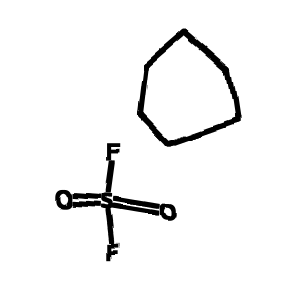 C1CCCCC1.O=S(=O)(F)F